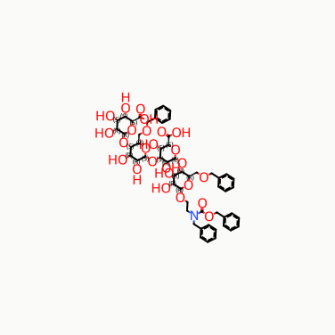 O=C(O)[C@H]1O[C@@H](O[C@H]2[C@H](O)[C@@H](O)[C@H](O[C@@H]3[C@@H](O)[C@H](O[C@H]4[C@H](O)[C@@H](O)[C@H](OCCN(Cc5ccccc5)C(=O)OCc5ccccc5)O[C@@H]4COCc4ccccc4)O[C@H](C(=O)O)[C@H]3O)O[C@@H]2COCc2ccccc2)[C@H](O)[C@@H](O)[C@@H]1O